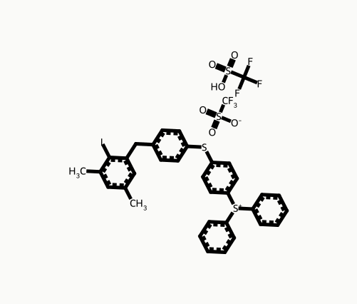 Cc1cc(C)c(I)c(Cc2ccc(Sc3ccc([S+](c4ccccc4)c4ccccc4)cc3)cc2)c1.O=S(=O)(O)C(F)(F)F.O=S(=O)([O-])C(F)(F)F